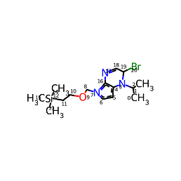 CC(C)N1c2ccn(COCC[Si](C)(C)C)c2N=CC1Br